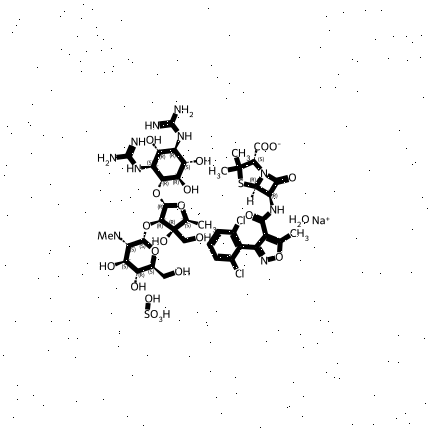 CN[C@@H]1[C@H](O[C@H]2[C@H](O[C@H]3[C@H](O)[C@@H](O)[C@H](NC(=N)N)[C@@H](O)[C@@H]3NC(=N)N)O[C@@H](C)[C@]2(O)CO)O[C@@H](CO)[C@H](O)[C@H]1O.Cc1onc(-c2c(Cl)cccc2Cl)c1C(=O)N[C@@H]1C(=O)N2[C@@H]1SC(C)(C)[C@@H]2C(=O)[O-].O.O=S(=O)(O)O.[Na+]